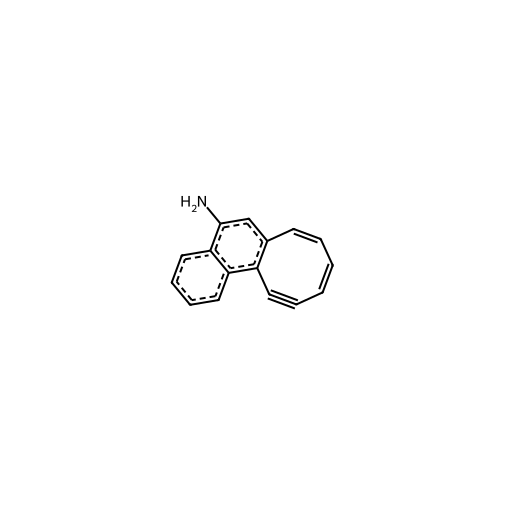 Nc1cc2c(c3ccccc13)C#C/C=C\C=C/2